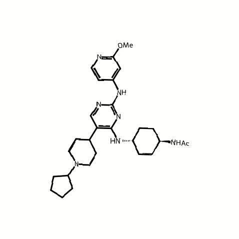 COc1cc(Nc2ncc(C3CCN(C4CCCC4)CC3)c(N[C@H]3CC[C@H](NC(C)=O)CC3)n2)ccn1